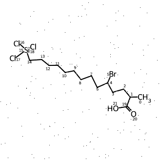 CC(CCC(Br)CCCCCCCCC[Si](Cl)(Cl)Cl)C(=O)O